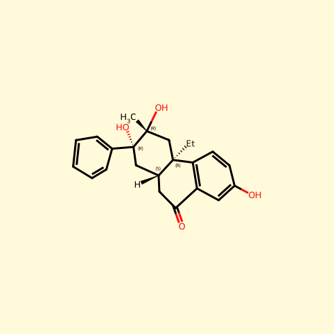 CC[C@@]12C[C@@](C)(O)[C@](O)(c3ccccc3)C[C@H]1CC(=O)c1cc(O)ccc12